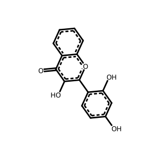 O=c1c(O)c(-c2ccc(O)cc2O)oc2ccccc12